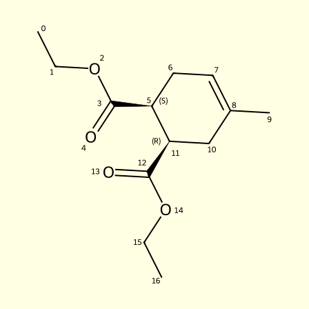 CCOC(=O)[C@H]1CC=C(C)C[C@H]1C(=O)OCC